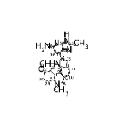 CO[C@H]1CC[C@@H](N(C)Cc2ccc3cc(-c4cc(N)nc5[nH]c(C)nc45)[nH]c3c2)CC1